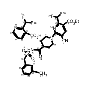 CCOC(=O)c1cc(C#N)c(N2CCC(C(=O)NS(=O)(=O)Cc3cccc(C)c3)CC2)nc1C(F)F.O=C(O)c1cccnc1C(F)F